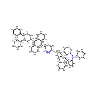 c1ccc(N2c3ccccc3C3(c4ccccc4-c4cc(-c5ccc(-c6c7ccccc7c(-c7ccc8c9ccccc9c9ccccc9c8c7)c7ccccc67)cn5)ccc43)c3ccccc32)cc1